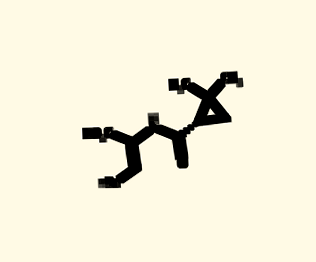 CCCCC=C(NC(=O)[C@H]1CC1(C)C)C(=O)O